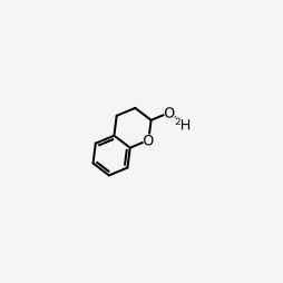 [2H]OC1CCc2ccccc2O1